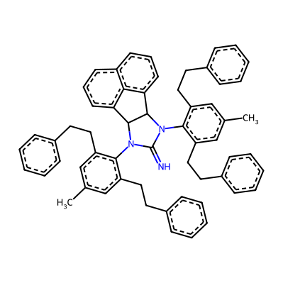 Cc1cc(CCc2ccccc2)c(N2C(=N)N(c3c(CCc4ccccc4)cc(C)cc3CCc3ccccc3)C3c4cccc5cccc(c45)C32)c(CCc2ccccc2)c1